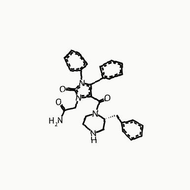 NC(=O)Cn1c(C(=O)N2CCNC[C@H]2Cc2ccccc2)c(-c2ccccc2)n(-c2ccccc2)c1=O